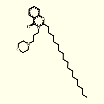 CCCCCCCCCCCCCCCCCc1nc2ccccc2c(=O)n1CCCN1CCOCC1